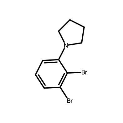 Brc1cccc(N2CCCC2)c1Br